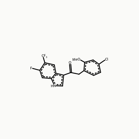 COc1cc(Cl)ccc1CC(=O)c1c[nH]c2cc(F)c(C(F)(F)F)cc12